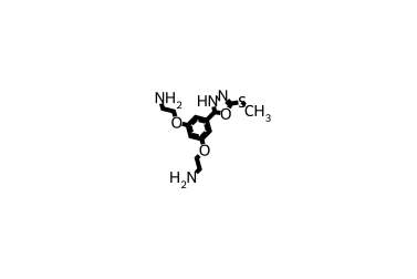 CSC1=NNC(c2cc(OCCN)cc(OCCN)c2)O1